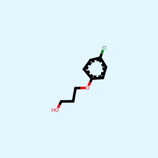 OCCCOc1c[c]c(Cl)cc1